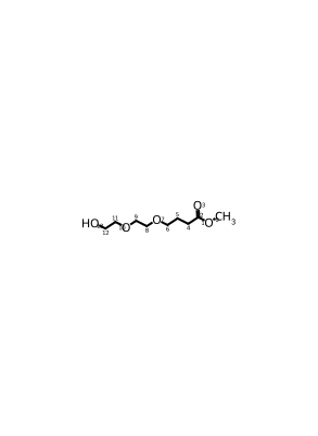 COC(=O)CCCOCCOCCO